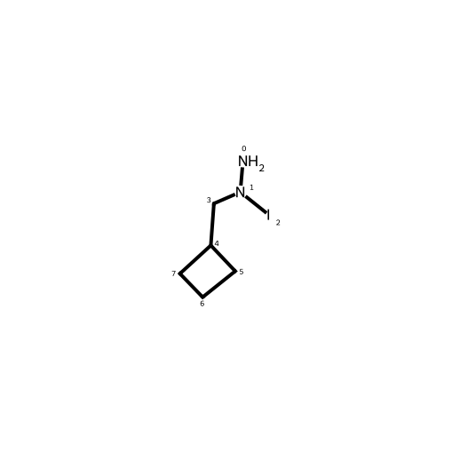 NN(I)CC1CCC1